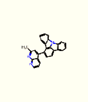 Cc1cc(-c2ccc3c4ccccc4n4c5ccccc5c2c34)c2cccnc2n1